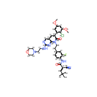 COc1cc(OC)c(Cl)c(-c2cc3cnc(NCCN4CCOCC4)nc3n(CCc3ccc(NC(=O)C(C#N)=CC(C)(C)C)c(F)c3)c2=O)c1